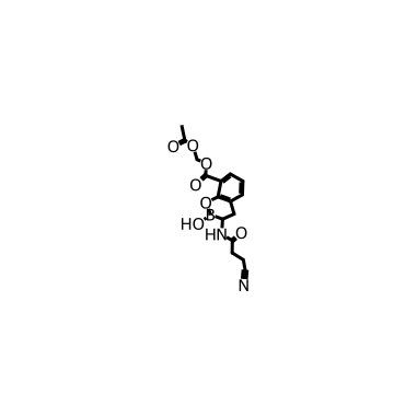 CC(=O)OCOC(=O)c1cccc2c1OB(O)C(NC(=O)CCC#N)C2